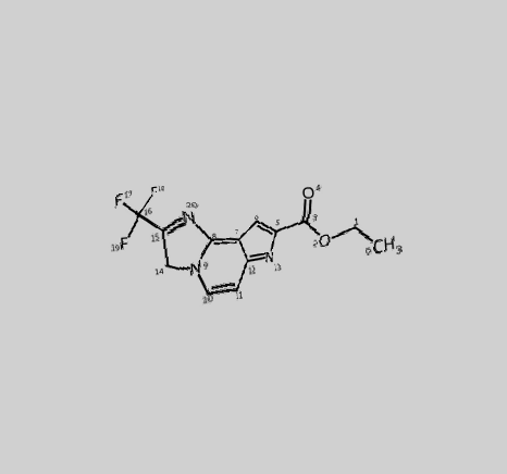 CCOC(=O)c1cc2c3n(ccc-2n1)CC(C(F)(F)F)=N3